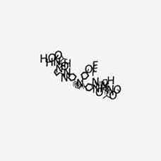 COC(=O)N[C@H](C(=O)N1CCC[C@H]1c1nc2cc([C@H]3CC[C@H](c4ccc5[nH]c(-c6cccn6C(=O)[C@@H](NC(=O)O)C(C)C)nc5c4)N3c3ccc(OC(F)F)cc3)ccc2[nH]1)C(C)C